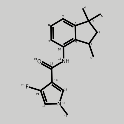 CC1CC(C)(C)c2cccc(NC(=O)c3cn(C)cc3F)c21